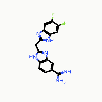 N=C(N)c1ccc2[nH]c(Cc3nc4cc(F)c(F)cc4[nH]3)nc2c1